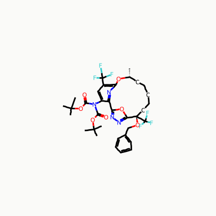 C[C@@H]1CCCCC[C@](OCc2ccccc2)(C(F)(F)F)c2nnc(o2)-c2nc(c(C(F)(F)F)cc2N(C(=O)OC(C)(C)C)C(=O)OC(C)(C)C)O1